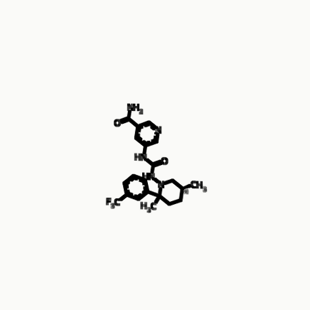 C[C@H]1CCC(C)(c2cccc(C(F)(F)F)c2)N(NC(=O)Nc2cncc(C(N)=O)c2)C1